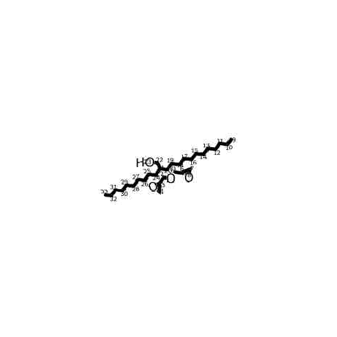 C(OCC1CO1)C1CO1.CCCCCCCCCCCCC(CO)CCCCCCCCCC